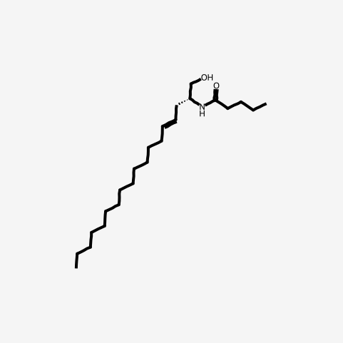 CCCCCCCCCCCCC/C=C/C[C@H](CO)NC(=O)CCCC